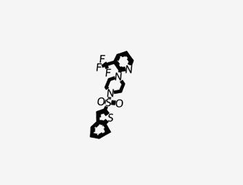 O=S(=O)(c1cc2ccccc2s1)N1CCN(c2ncccc2C(F)(F)F)CC1